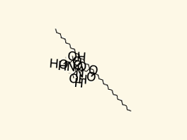 CCCCCCCCCCCCCCCC(=O)OC(CCCCCCCCCCCCCCC)CC(=O)N[C@H](C(=O)N[C@H](C(=O)O)[C@@H](C)O)[C@@H](C)O